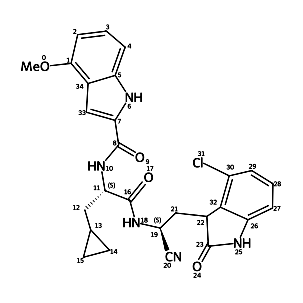 COc1cccc2[nH]c(C(=O)N[C@@H](CC3CC3)C(=O)N[C@H](C#N)CC3C(=O)Nc4cccc(Cl)c43)cc12